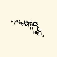 CNC(=O)CCc1cc(NC(=O)c2cnc(OCCOC)cn2)ccn1